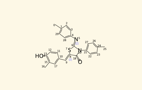 Cc1ccc(/N=C2\S/C(=C\c3ccc(O)c(C)c3)C(=O)N2c2ccc(C)cc2)cc1